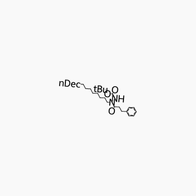 CCCCCCCCCCCCCCCCCCN(NC(=O)OC(C)(C)C)C(=O)CCc1ccccc1